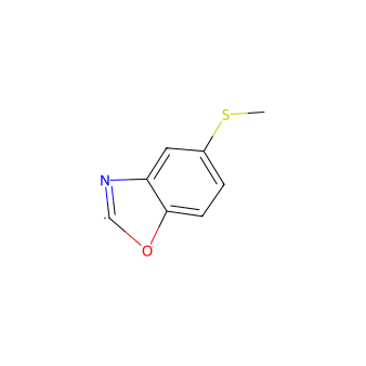 CSc1ccc2o[c]nc2c1